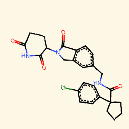 O=C1CCC(N2Cc3cc(CNC(=O)C4(c5ccc(Cl)cc5)CCCC4)ccc3C2=O)C(=O)N1